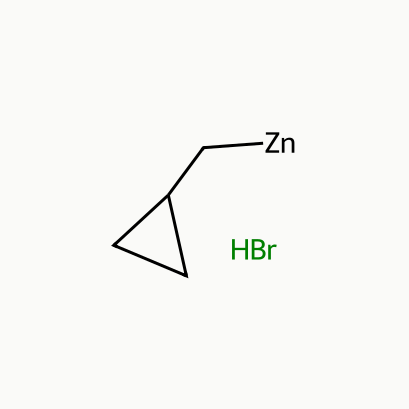 Br.[Zn][CH2]C1CC1